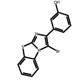 Oc1cccc(-c2nc3sc4ccccc4n3c2Br)c1